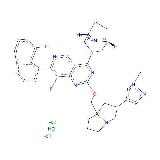 Cl.Cl.Cl.Cn1cc(C2CN3CCCC3(COc3nc(N4C[C@H]5CC[C@@H](C4)N5)c4cnc(-c5cccc6cccc(Cl)c56)c(F)c4n3)C2)cn1